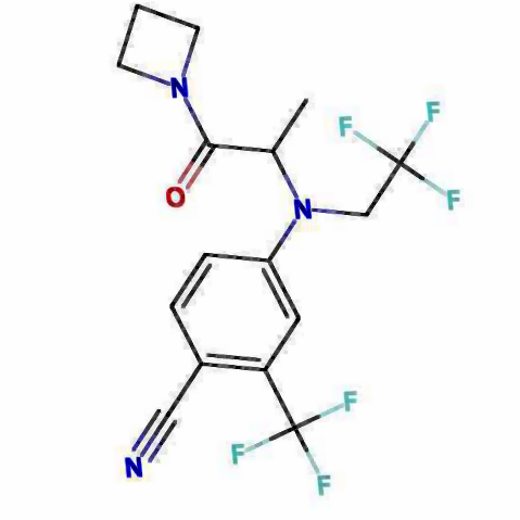 CC(C(=O)N1CCC1)N(CC(F)(F)F)c1ccc(C#N)c(C(F)(F)F)c1